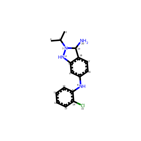 CC(C)N1Nc2cc(Nc3ccccc3Cl)ccc2C1N